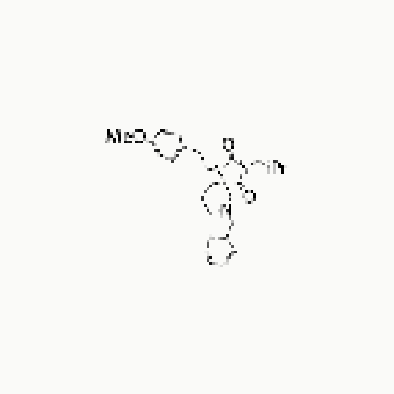 COc1ccc(CCN2C(=O)N(CC(C)C)C(=O)C23CCCN(Cc2ccccc2)C3)cc1